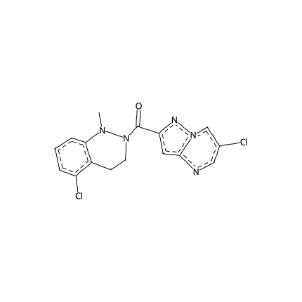 CN1c2cccc(Cl)c2CCN1C(=O)c1cc2ncc(Cl)cn2n1